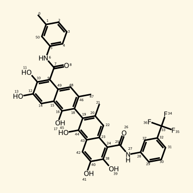 Cc1cccc(NC(=O)c2c(O)c(O)cc3c(O)c(-c4c(C)cc5c(C(=O)Nc6cccc(C(F)(F)F)c6)c(O)c(O)cc5c4O)c(C)cc23)c1